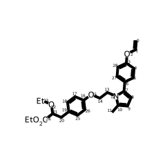 C=COc1ccc(-c2ccc(C)n2CCOc2ccc(CC(OCC)C(=O)OCC)cc2)cc1